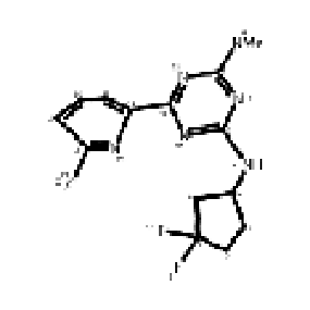 CNc1nc(NC2CCC(F)(F)C2)nc(-c2cccc(C(F)(F)F)n2)n1